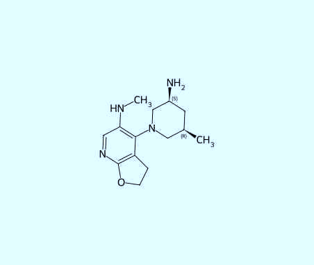 CNc1cnc2c(c1N1C[C@H](C)C[C@H](N)C1)CCO2